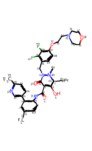 CC(C)[C@H]1C(O)=C(C(=O)Nc2ccc(C(F)(F)F)cc2-c2ccc(C(F)(F)F)nc2)C(=O)N(Cc2ccc(OCCN3CCOCC3)c(F)c2F)N1C